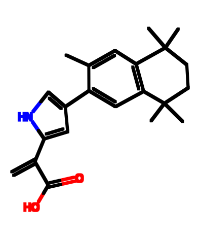 C=C(C(=O)O)c1cc(-c2cc3c(cc2C)C(C)(C)CCC3(C)C)c[nH]1